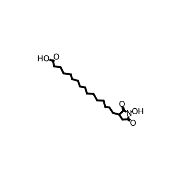 O=C(O)CCCCCCCCCCCCCCCC1CC(=O)N(O)C1=O